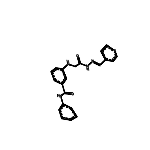 O=C(CNc1cccc(C(=O)Nc2ccccc2)c1)N/N=C/c1ccncc1